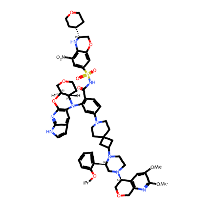 COc1cc2c(nc1OC)COC[C@H]2N1CCN(C2CC3(CCN(c4ccc(C(=O)NS(=O)(=O)c5cc6c(c([N+](=O)[O-])c5)N[C@H](C5CCOCC5)CO6)c(N5c6cc7cc[nH]c7nc6O[C@H]6COCC[C@@H]65)c4)CC3)C2)[C@H](c2ccccc2OC(C)C)C1